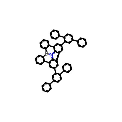 c1ccc(-c2ccc(-c3ccccc3)c(-c3cc4c5c(c3)c3cc(-c6cc(-c7ccccc7)ccc6-c6ccccc6)cc6c3n5B(c3ccccc3-4)c3ccccc3-6)c2)cc1